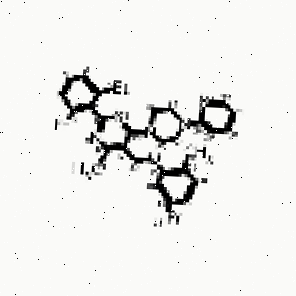 CCc1cccc(CC)c1-c1nc(C)c(COc2cc(C(C)C)ccc2C)c(N2CCN(c3ccccn3)CC2)n1